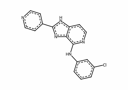 Clc1cccc(Nc2nccc3[nH]c(-c4ccncc4)nc23)c1